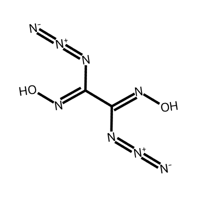 [N-]=[N+]=NC(=NO)C(N=[N+]=[N-])=NO